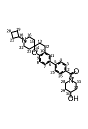 O=C(c1ccc(-c2ccc3c(c2)CCC2(CCN(C4CCC4)CC2)O3)cc1)N1CCC(O)CC1